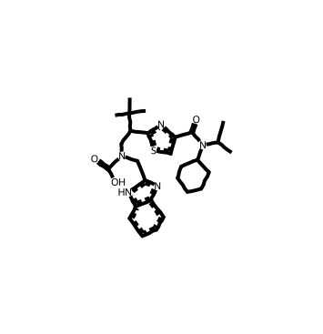 CC(C)N(C(=O)c1csc(C(CN(Cc2nc3ccccc3[nH]2)C(=O)O)C(C)(C)C)n1)C1CCCCC1